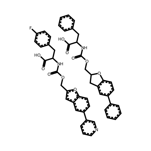 O=C(NC(Cc1ccc(F)cc1)C(=O)O)OCc1cc2cc(-c3cccnc3)ccc2o1.O=C(NC(Cc1ccccc1)C(=O)O)OCC1Cc2cc(-c3ccccc3)ccc2O1